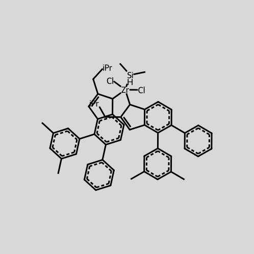 Cc1cc(C)cc(-c2c(-c3ccccc3)ccc3c2C=C(CC(C)C)[CH]3[Zr]([Cl])([Cl])([CH]2C(CC(C)C)=Cc3c2ccc(-c2ccccc2)c3-c2cc(C)cc(C)c2)[SiH](C)C)c1